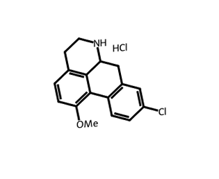 COc1ccc2c3c1-c1ccc(Cl)cc1CC3NCC2.Cl